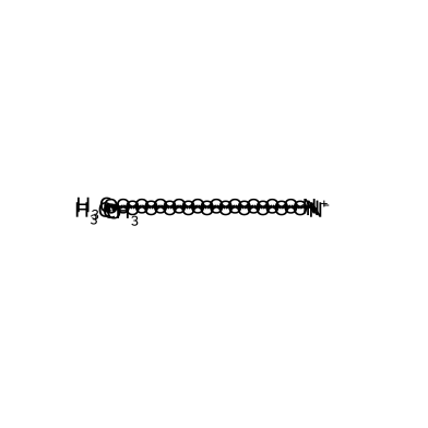 CC(C)(C)OC(=O)CCOCCOCCOCCOCCOCCOCCOCCOCCOCCOCCOCCOCCOCCOCCOCCOCCOCCOCCOCCOCCN=[N+]=[N-]